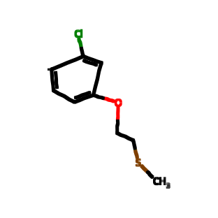 CSCCOc1cc[c]c(Cl)c1